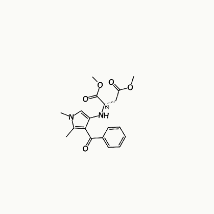 COC(=O)C[C@H](Nc1cn(C)c(C)c1C(=O)c1ccccc1)C(=O)OC